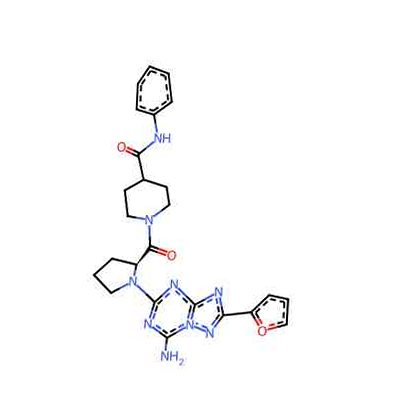 Nc1nc(N2CCC[C@H]2C(=O)N2CCC(C(=O)Nc3ccccc3)CC2)nc2nc(-c3ccco3)nn12